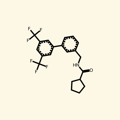 O=C(NCc1cccc(-c2cc(C(F)(F)F)cc(C(F)(F)F)c2)c1)C1CCCC1